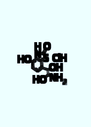 Cl.NC(O)C(O)c1ccc(O)c2[nH]c(=O)sc12